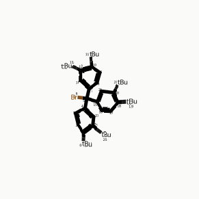 CC(C)(C)c1ccc(C(Br)(c2ccc(C(C)(C)C)c(C(C)(C)C)c2)c2ccc(C(C)(C)C)c(C(C)(C)C)c2)cc1C(C)(C)C